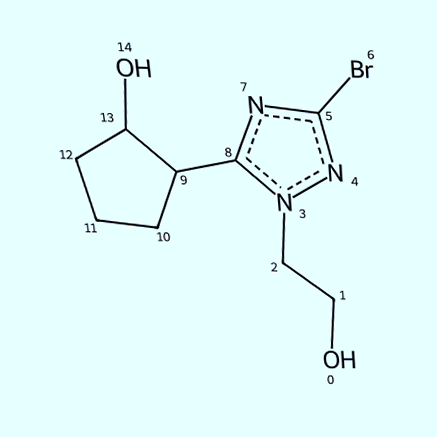 OCCn1nc(Br)nc1C1CCCC1O